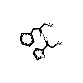 CC(=O)CC(=O)Cc1ccccc1.CC(=O)CC(=O)c1ccco1